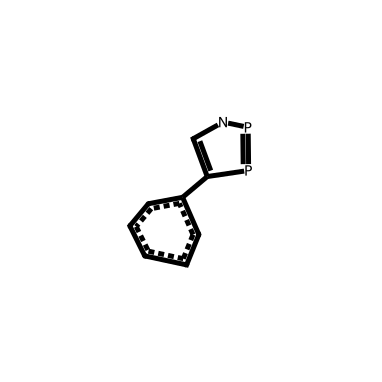 C1=C(c2ccccc2)P=P[N]1